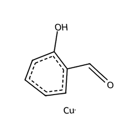 O=Cc1ccccc1O.[Cu]